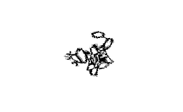 CC1(C)c2ccc(B3c4ccc5c(oc6cccc(-c7ccccc7)c65)c4N4C(=O)Oc5cccc6ccc3c4c56)cc2C(C)(C)C1(C)C